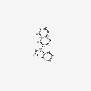 C=C[C@H](c1ccccc1)c1cnc2ccccc2c1